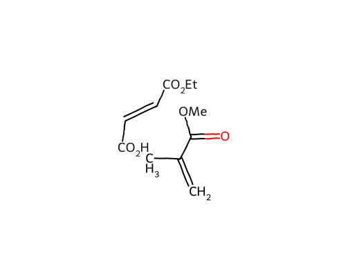 C=C(C)C(=O)OC.CCOC(=O)C=CC(=O)O